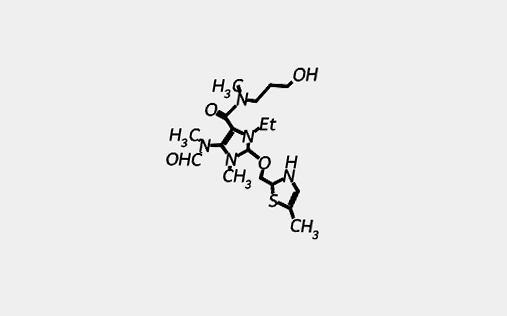 CCN1C(C(=O)N(C)CCCO)=C(N(C)C=O)N(C)C1OCC1NC=C(C)S1